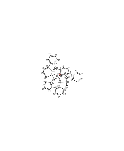 c1ccc(-c2ccc(-n3c4ccccc4c4ccc5c6ccccc6n(-c6cccc7oc8ccccc8c67)c5c43)cc2)cc1